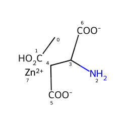 CC(=O)O.NC(CC(=O)[O-])C(=O)[O-].[Zn+2]